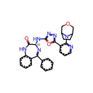 O=C1Nc2ccccc2C(c2ccccc2)=N[C@@H]1Nc1nnc(-c2cccnc2N2C3CCC2COC3)o1